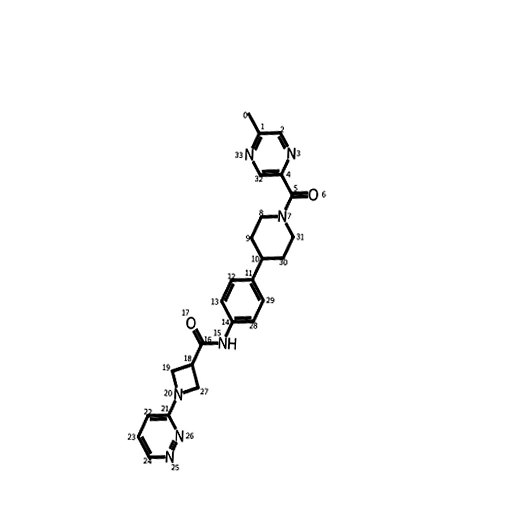 Cc1cnc(C(=O)N2CCC(c3ccc(NC(=O)C4CN(c5cccnn5)C4)cc3)CC2)cn1